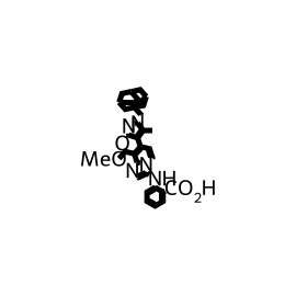 COC(=O)c1c(-c2cnn(CC34CC5CC(CC(C5)C3)C4)c2C)ccn2c(Nc3ccccc3C(=O)O)cnc12